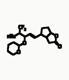 CCCCC(C(/C=C/C1CCC2OC(=O)CC12)OC1CCCCO1)C(F)(F)F